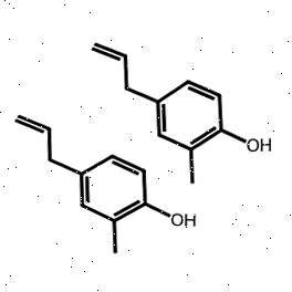 C=CCc1ccc(O)c(C)c1.C=CCc1ccc(O)c(C)c1